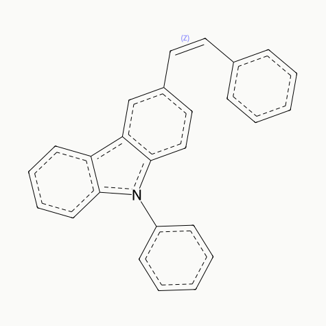 C(=C/c1ccc2c(c1)c1ccccc1n2-c1ccccc1)/c1ccccc1